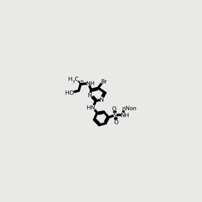 CCCCCCCCCNS(=O)(=O)c1cccc(Nc2ncc(Br)c(N[C@H](C)CO)n2)c1